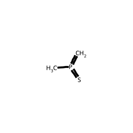 C=P(C)=S